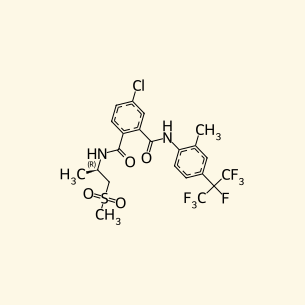 Cc1cc(C(F)(C(F)(F)F)C(F)(F)F)ccc1NC(=O)c1cc(Cl)ccc1C(=O)N[C@H](C)CS(C)(=O)=O